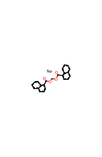 O=C(OCOC(=O)c1cccc2ccccc12)c1cccc2ccccc12.[Na]